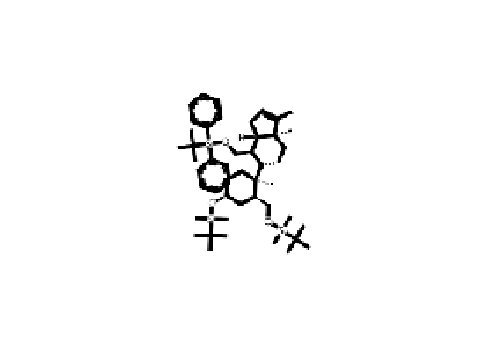 CC1=CC[C@H]2[C@H](CO[Si](c3ccccc3)(c3ccccc3)C(C)(C)C)[C@@H]([C@]3(C)CC[C@H](O[Si](C)(C)C(C)(C)C)C[C@@H]3CO[Si](C)(C)C(C)(C)C)CC[C@]12C